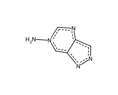 Nn1cnc2cnnc-2c1